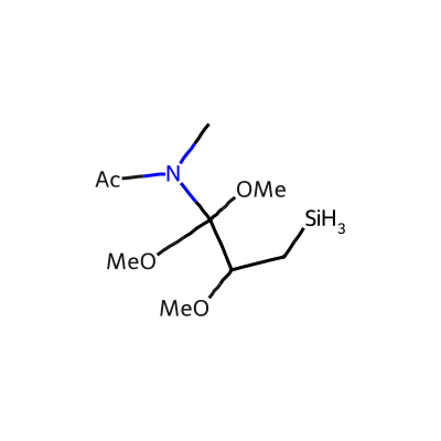 COC(C[SiH3])C(OC)(OC)N(C)C(C)=O